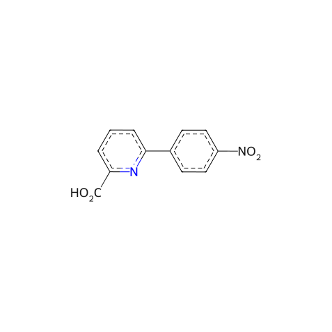 O=C(O)c1cccc(-c2ccc([N+](=O)[O-])cc2)n1